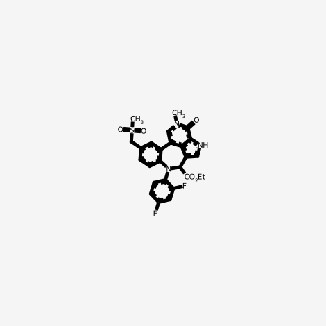 CCOC(=O)C1c2c[nH]c3c(=O)n(C)cc(c23)-c2cc(CS(C)(=O)=O)ccc2N1c1ccc(F)cc1F